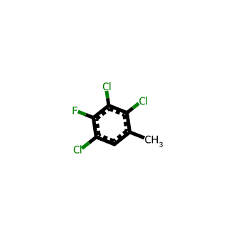 Cc1cc(Cl)c(F)c(Cl)c1Cl